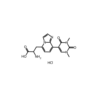 Cl.Cn1cc(-c2ccc(CC(N)C(=O)O)n3ccnc23)c(=O)n(C)c1=O